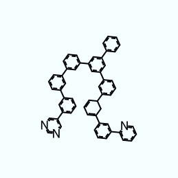 C1=CC(c2cccc(-c3cc(-c4ccccc4)cc(-c4cccc(-c5cccc(-c6cccc(-c7cncnc7)c6)c5)c4)c3)c2)CC(c2cccc(-c3ccccn3)c2)=C1